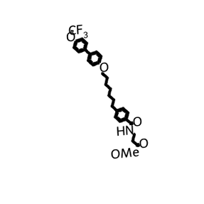 COC(=O)CCNC(=O)c1ccc(CCCCCCCOc2ccc(-c3ccc(OC(F)(F)F)cc3)cc2)cc1